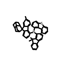 Cc1ccc2c(c1)C1(c3cccc(N(c4cccc5c4C(C)(C)c4ccccc4-5)c4cccc5sc6ccccc6c45)c3-2)C2CC3CC(C2)CC1C3